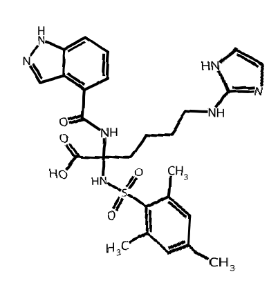 Cc1cc(C)c(S(=O)(=O)NC(CCCCNc2ncc[nH]2)(NC(=O)c2cccc3[nH]ncc23)C(=O)O)c(C)c1